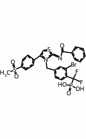 CS(=O)(=O)c1ccc(-c2cs/c(=N\C(=O)c3ccccc3)n2Cc2ccc(C(F)(F)P(=O)(O)O)c(Br)c2)cc1